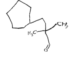 CC(C)(C=O)CC1CCCCC1